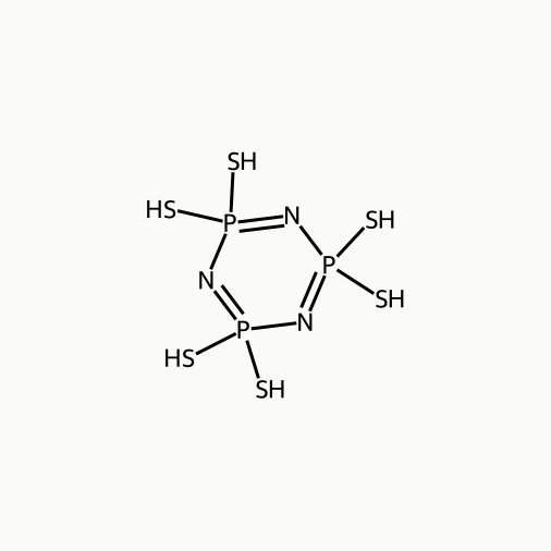 SP1(S)=NP(S)(S)=NP(S)(S)=N1